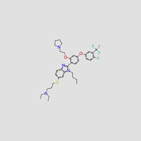 CCCCn1c(-c2ccc(Oc3ccc(F)c(C(F)(F)F)c3)cc2OCCN2CCCC2)nc2ccc(SCCCN(CC)CC)cc21